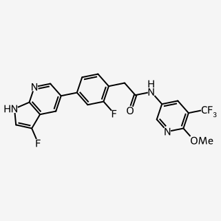 COc1ncc(NC(=O)Cc2ccc(-c3cnc4[nH]cc(F)c4c3)cc2F)cc1C(F)(F)F